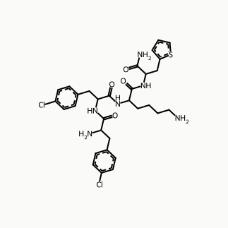 NCCCCC(NC(=O)C(Cc1ccc(Cl)cc1)NC(=O)C(N)Cc1ccc(Cl)cc1)C(=O)NC(Cc1cccs1)C(N)=O